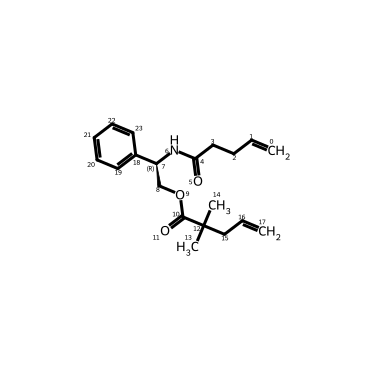 C=CCCC(=O)N[C@@H](COC(=O)C(C)(C)CC=C)c1ccccc1